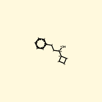 O[C@H](CCc1ccccc1)C1CCC1